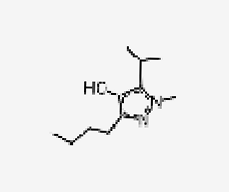 CCCCc1nn(C)c(C(C)C)c1O